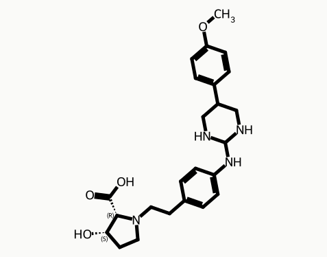 COc1ccc(C2CNC(Nc3ccc(CCN4CC[C@H](O)[C@@H]4C(=O)O)cc3)NC2)cc1